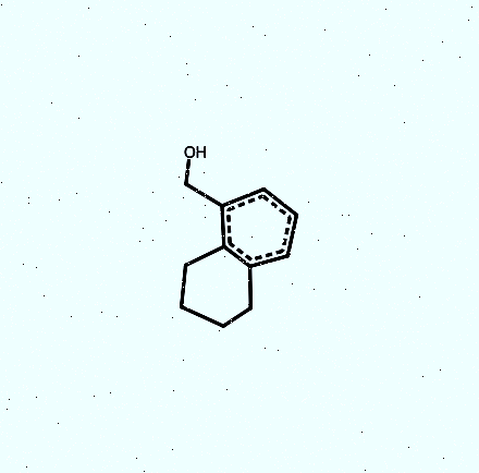 OCc1cccc2c1CCCC2